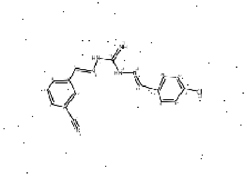 N#Cc1cccc(/C=N/NC(=N)N/N=C/c2ccc(Cl)cc2)c1